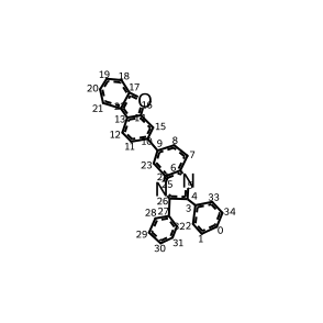 c1ccc(-c2nc3ccc(-c4ccc5c(c4)oc4ccccc45)cc3nc2-c2ccccc2)cc1